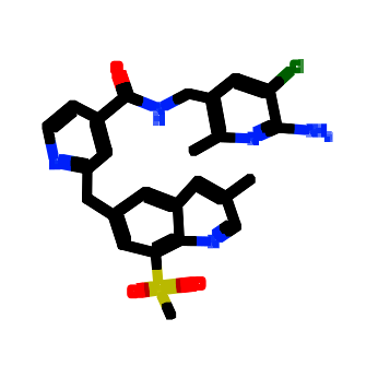 Cc1cnc2c(S(C)(=O)=O)cc(Cc3cc(C(=O)NCc4cc(Cl)c(N)nc4C)ccn3)cc2c1